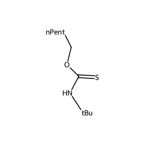 CCCCCCOC(=S)NC(C)(C)C